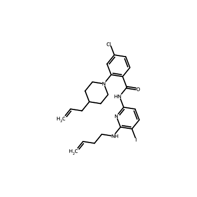 C=CCCNc1nc(NC(=O)c2ccc(Cl)cc2N2CCC(CC=C)CC2)ccc1I